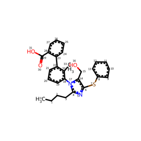 CCCCc1nc(Sc2ccccc2)c(CO)n1-c1cccc(-c2ccccc2C(=O)O)c1C